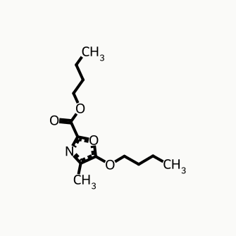 CCCCOC(=O)c1nc(C)c(OCCCC)o1